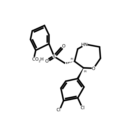 O=C(O)c1ccccc1S(=O)(=O)C[C@@H]1CNCCO[C@H]1c1ccc(Cl)c(Cl)c1